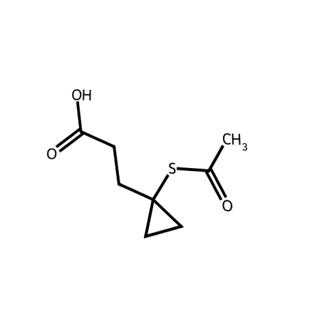 CC(=O)SC1(CCC(=O)O)CC1